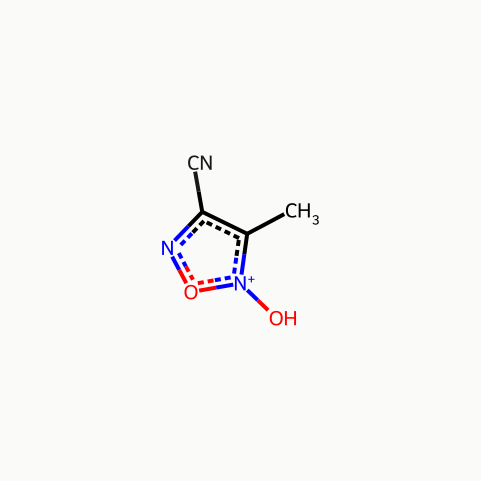 Cc1c(C#N)no[n+]1O